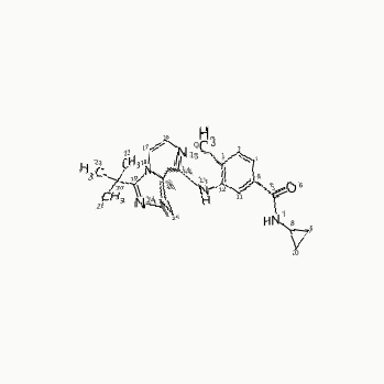 Cc1ccc(C(=O)NC2CC2)cc1Nc1nccn2c(C(C)(C)C)nnc12